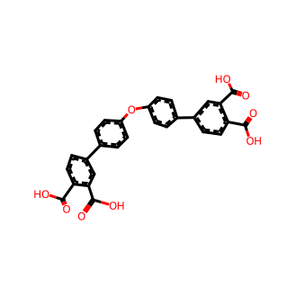 O=C(O)c1ccc(-c2ccc(Oc3ccc(-c4ccc(C(=O)O)c(C(=O)O)c4)cc3)cc2)cc1C(=O)O